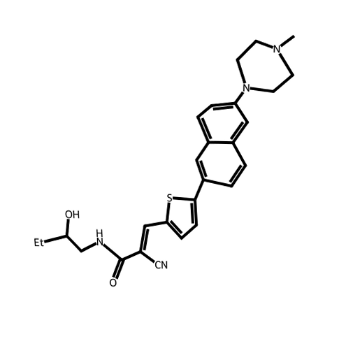 CCC(O)CNC(=O)/C(C#N)=C/c1ccc(-c2ccc3cc(N4CCN(C)CC4)ccc3c2)s1